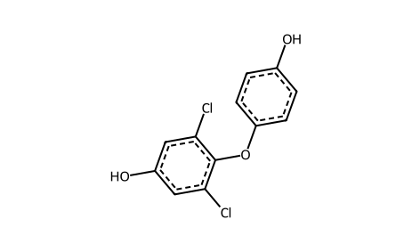 Oc1ccc(Oc2c(Cl)cc(O)cc2Cl)cc1